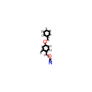 Cc1cc(OCc2ccccc2)ccc1COC#N